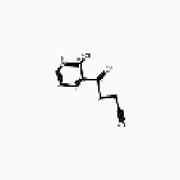 N#CCCC(=O)c1cccnc1Cl